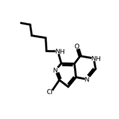 CCCCCNc1nc(Cl)cc2nc[nH]c(=O)c12